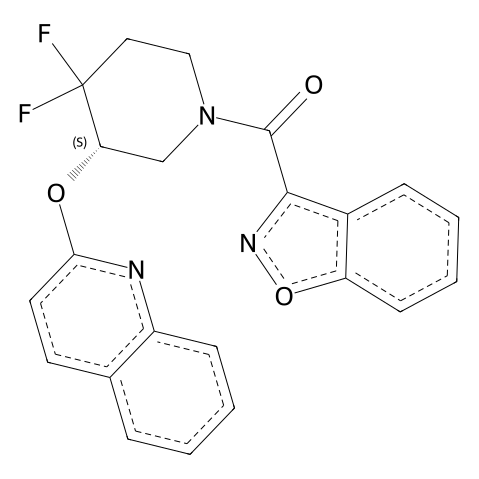 O=C(c1noc2ccccc12)N1CCC(F)(F)[C@@H](Oc2ccc3ccccc3n2)C1